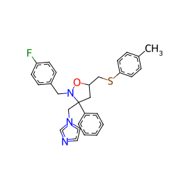 Cc1ccc(SCC2CC(Cn3ccnc3)(c3ccccc3)N(Cc3ccc(F)cc3)O2)cc1